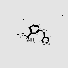 C[C@H](N)c1cccc(OC2CCOC2)c1